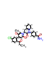 CCC(=O)c1ccc(Cl)cc1-c1cc(=O)n(C(Cc2ccccc2)C(=O)Nc2ccc(C(N)=O)cc2)cc1OC